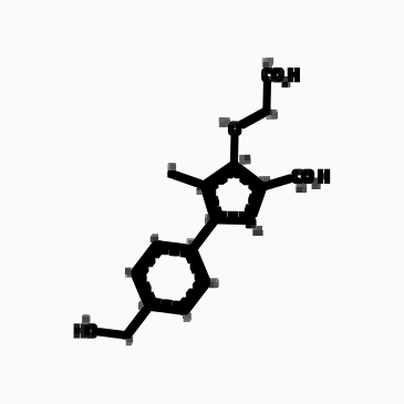 Cc1c(-c2ccc(CO)cc2)sc(C(=O)O)c1OCC(=O)O